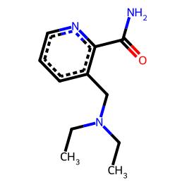 CCN(CC)Cc1cccnc1C(N)=O